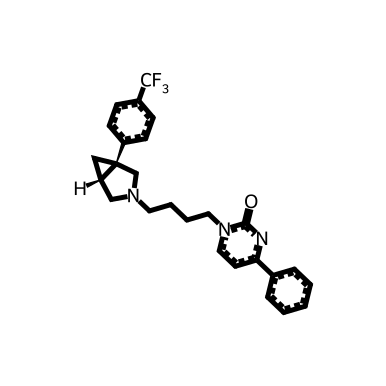 O=c1nc(-c2ccccc2)ccn1CCCCN1C[C@@H]2C[C@]2(c2ccc(C(F)(F)F)cc2)C1